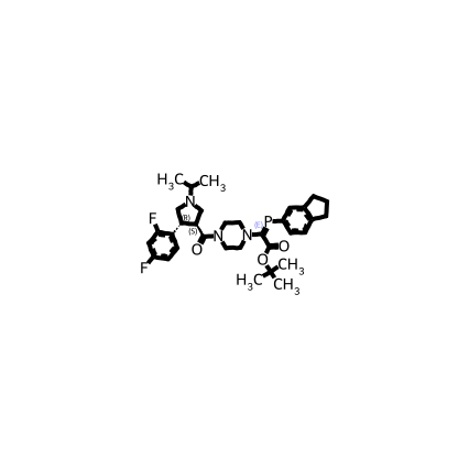 CC(C)N1C[C@@H](C(=O)N2CCN(/C(=P/c3ccc4c(c3)CCC4)C(=O)OC(C)(C)C)CC2)[C@H](c2ccc(F)cc2F)C1